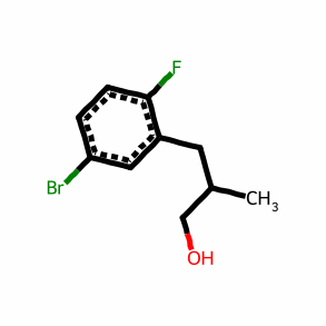 CC(CO)Cc1cc(Br)ccc1F